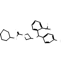 Cc1ccc(C(OC2CN(C(=O)NC3CCCCC3)C2)c2ccccc2C(F)(F)F)cc1